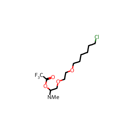 CNC(COCCOCCCCCCCl)OC(=O)C(F)(F)F